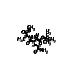 COC(=O)[C@H](C)NC(=O)[C@@H](CCC(N)=O)NC(=O)OC(C)(C)C